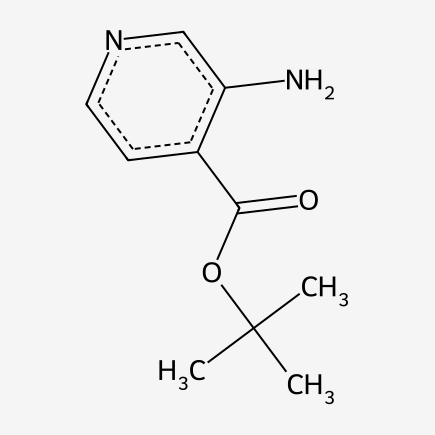 CC(C)(C)OC(=O)c1ccncc1N